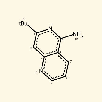 CC(C)(C)c1cc2ncccc2c(N)n1